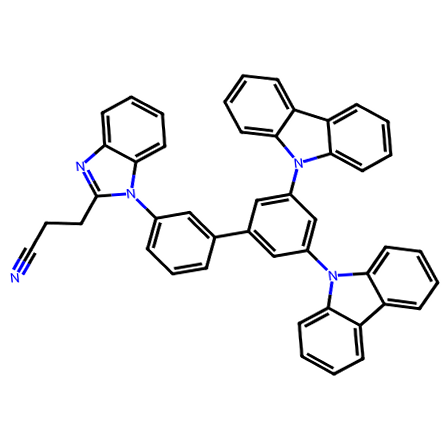 N#CCCc1nc2ccccc2n1-c1cccc(-c2cc(-n3c4ccccc4c4ccccc43)cc(-n3c4ccccc4c4ccccc43)c2)c1